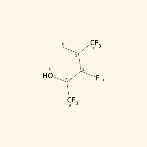 CC(C(F)C(O)C(F)(F)F)C(F)(F)F